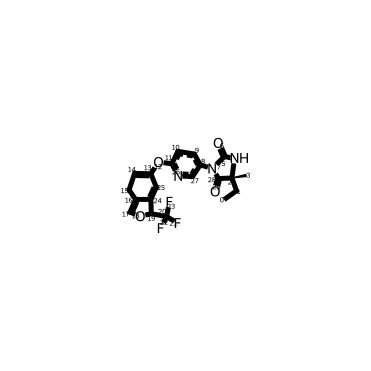 CC[C@@]1(C)NC(=O)N(c2ccc(OC3=CCC4=COC(C(F)(F)F)C4=C3)nc2)C1=O